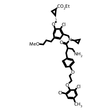 CCOC(=O)[C@@H]1C[C@H]1COc1cc(CCCOC)cc(CN(C(=O)C(CN)Cc2ccc(OCCOc3c(Cl)cc(C)cc3Cl)cc2)C2CC2)c1Cl